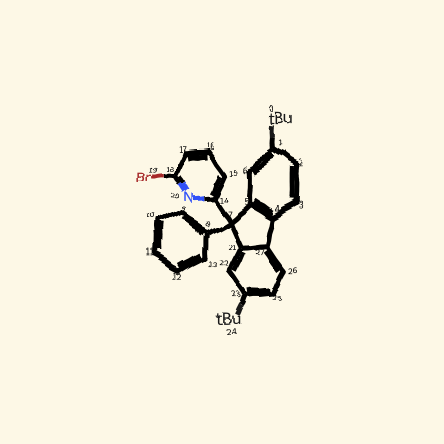 CC(C)(C)c1ccc2c(c1)C(c1ccccc1)(c1cccc(Br)n1)c1cc(C(C)(C)C)ccc1-2